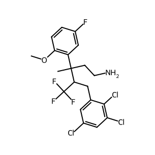 COc1ccc(F)cc1C(C)(CCN)C(Cc1cc(Cl)cc(Cl)c1Cl)C(F)(F)F